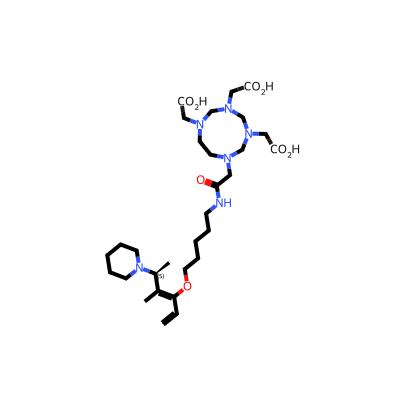 C=CC(OCCCCCNC(=O)CN1CCN(CC(=O)O)CN(CC(=O)O)CN(CC(=O)O)C1)=C(C)[C@H](C)N1CCCCC1